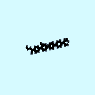 CCCNc1ccc(-c2ccc(-c3ccc(C4CCC(C(N)CC)CC4)cc3)cc2F)cc1